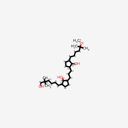 COC(C)(C)CCCCC1CCC(CCCC2CCC(CCCCC(C)(C)CO)C2O)C1O